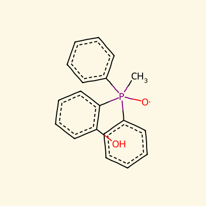 CP([O])(c1ccccc1)(c1ccccc1)c1ccccc1O